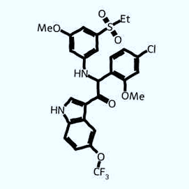 CCS(=O)(=O)c1cc(NC(C(=O)c2c[nH]c3ccc(OC(F)(F)F)cc23)c2ccc(Cl)cc2OC)cc(OC)c1